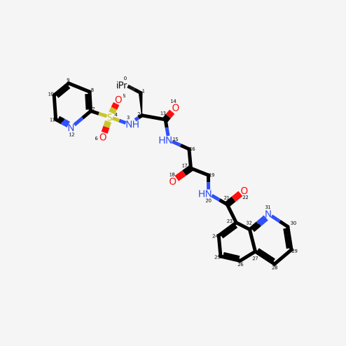 CC(C)C[C@H](NS(=O)(=O)c1ccccn1)C(=O)NCC(=O)CNC(=O)c1cccc2cccnc12